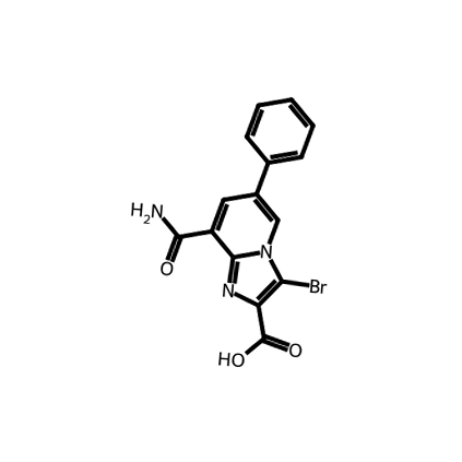 NC(=O)c1cc(-c2ccccc2)cn2c(Br)c(C(=O)O)nc12